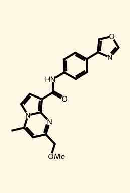 COCc1cc(C)n2ccc(C(=O)Nc3ccc(-c4cocn4)cc3)c2n1